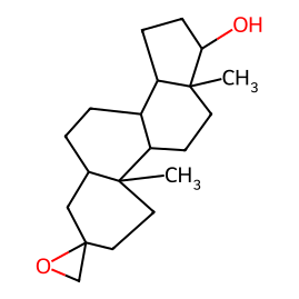 CC12CCC3C(CCC4CC5(CCC43C)CO5)C1CCC2O